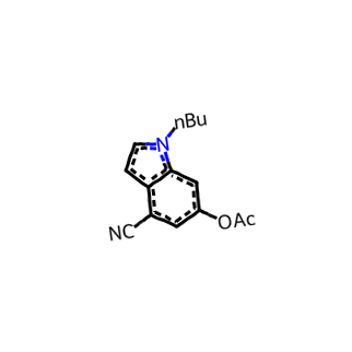 CCCCn1ccc2c(C#N)cc(OC(C)=O)cc21